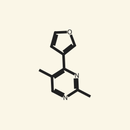 Cc1ncc(C)c(-c2ccoc2)n1